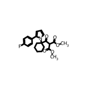 COC(=O)C(C(=O)OC)C(=O)C1(n2cccc2-c2ccc(F)cc2)CCCCC1